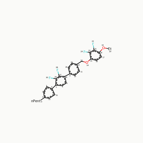 CCCCCc1ccc(-c2ccc(-c3ccc(COc4ccc(OCC)c(F)c4F)cc3)c(F)c2F)cc1